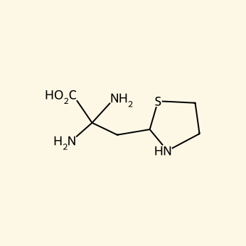 NC(N)(CC1NCCS1)C(=O)O